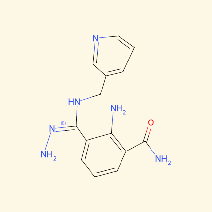 N/N=C(/NCc1cccnc1)c1cccc(C(N)=O)c1N